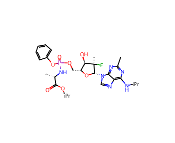 Cc1nc(NC(C)C)c2ncn([C@@H]3O[C@H](CO[P@@](=O)(N[C@@H](C)C(=O)OC(C)C)Oc4ccccc4)[C@@H](O)[C@@]3(C)F)c2n1